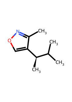 Cc1nocc1[C@H](C)C(C)C